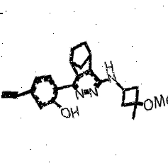 C#Cc1ccc(-c2nnc(NC3CC(C)(OC)C3)c3c2C2CCC3C2)c(O)c1